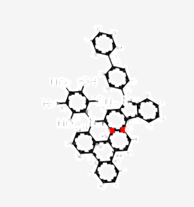 Oc1c(O)c(O)c(N(c2ccc3c4ccccc4n(-c4ccc(-c5ccccc5)cc4)c3c2)c2cccc3c4ccccc4c4ccccc4c23)c(O)c1O